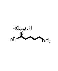 CCCC(CCCCN)[SiH](O)O